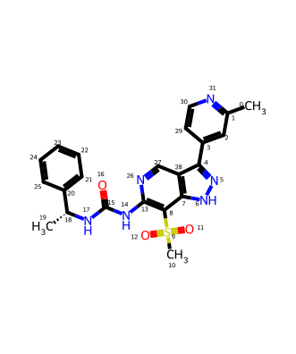 Cc1cc(-c2n[nH]c3c(S(C)(=O)=O)c(NC(=O)N[C@H](C)c4ccccc4)ncc23)ccn1